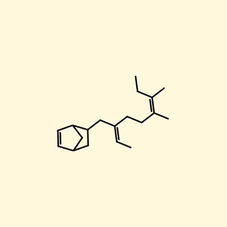 CC=C(CCC(C)=C(C)CC)CC1CC2C=CC1C2